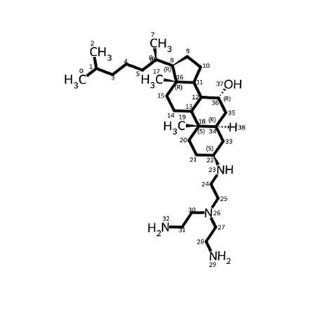 CC(C)CCC[C@@H](C)[C@H]1CCC2C3C(CC[C@@]21C)[C@@]1(C)CC[C@H](NCCN(CCN)CCN)C[C@@H]1C[C@H]3O